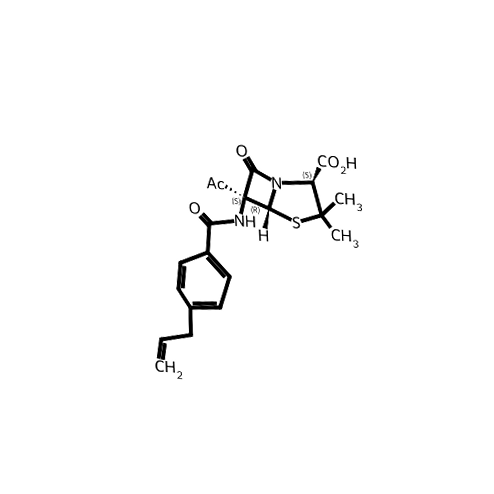 C=CCc1ccc(C(=O)N[C@@]2(C(C)=O)C(=O)N3[C@@H](C(=O)O)C(C)(C)S[C@@H]32)cc1